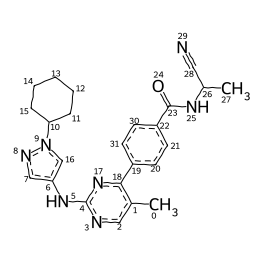 Cc1cnc(Nc2cnn(C3CCCCC3)c2)nc1-c1ccc(C(=O)NC(C)C#N)cc1